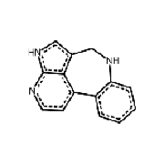 c1ccc2c(c1)NCc1c[nH]c3nccc-2c13